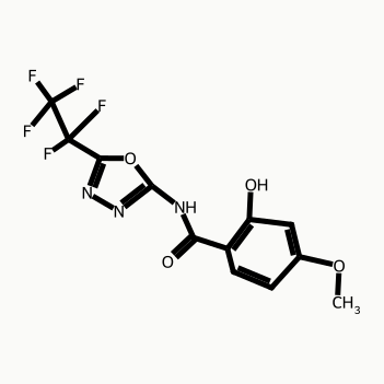 COc1ccc(C(=O)Nc2nnc(C(F)(F)C(F)(F)F)o2)c(O)c1